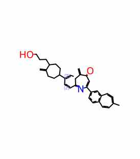 C=C1CC(/C=C\C(=C/C)C2CCC(=C)C(CCCO)CC2)=NC(c2ccc3c(c2)C=C=C(C)C=C3)=CC1=O